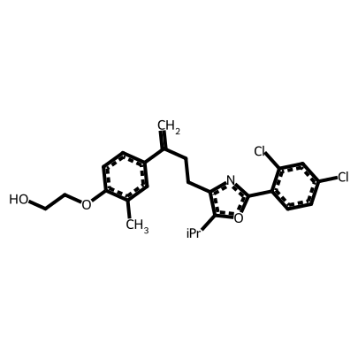 C=C(CCc1nc(-c2ccc(Cl)cc2Cl)oc1C(C)C)c1ccc(OCCO)c(C)c1